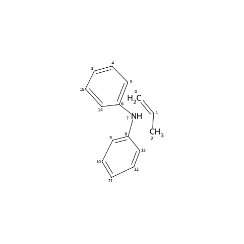 C=CC.c1ccc(Nc2ccccc2)cc1